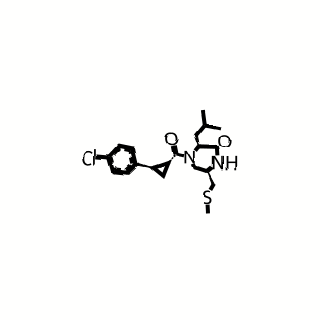 CSC[C@H]1CN(C(=O)[C@@H]2C[C@H]2c2ccc(Cl)cc2)[C@@H](CC(C)C)C(=O)N1